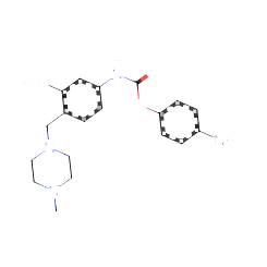 CN1CCN(Cc2ccc(NC(=O)Oc3ccc([N+](=O)[O-])cc3)cc2C(F)(F)F)CC1